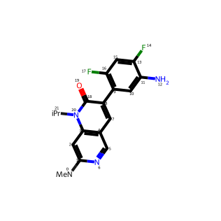 CNc1cc2c(cn1)cc(-c1cc(N)c(F)cc1F)c(=O)n2C(C)C